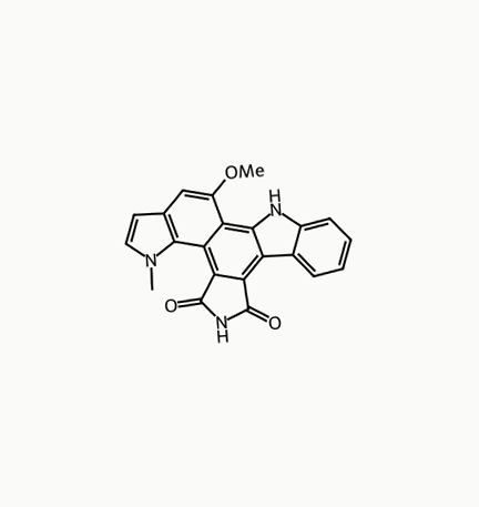 COc1cc2ccn(C)c2c2c3c(c4c5ccccc5[nH]c4c12)C(=O)NC3=O